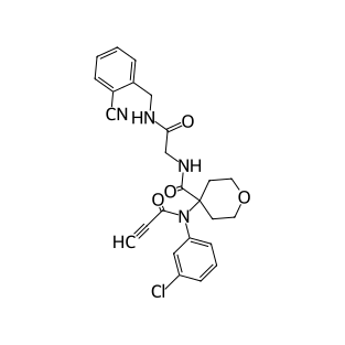 C#CC(=O)N(c1cccc(Cl)c1)C1(C(=O)NCC(=O)NCc2ccccc2C#N)CCOCC1